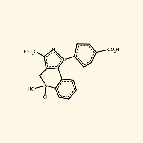 CCOC(=O)c1nn(-c2ccc(C(=O)O)cc2)c2c1CS(O)(O)c1ccccc1-2